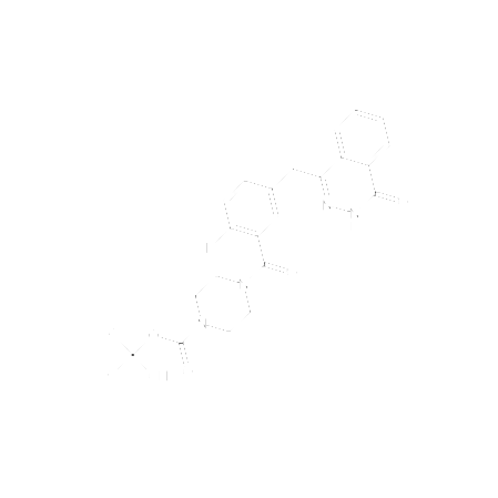 CC(C)(C)OC(=O)N1CCN(C(=O)c2cc(Cc3n[nH]c(=O)c4ccccc34)ccc2F)CC1